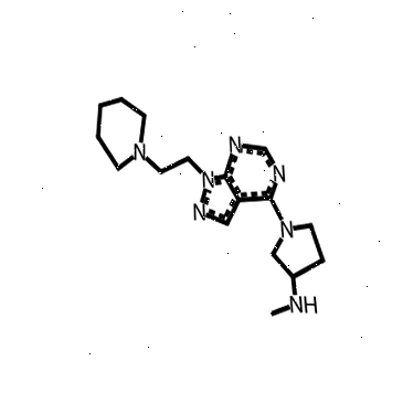 CNC1CCN(c2ncnc3c2cnn3CCN2CCCCC2)C1